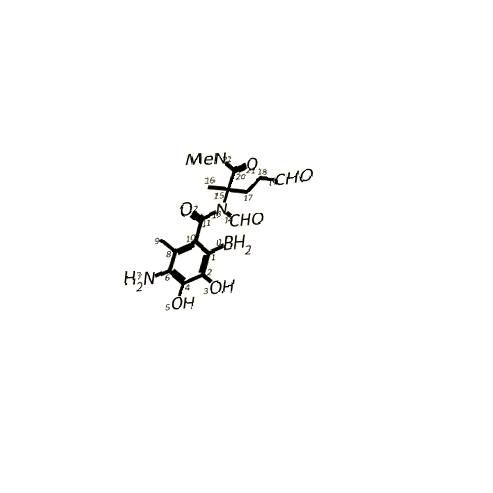 Bc1c(O)c(O)c(N)c(C)c1C(=O)N(C=O)C(C)(CCC=O)C(=O)NC